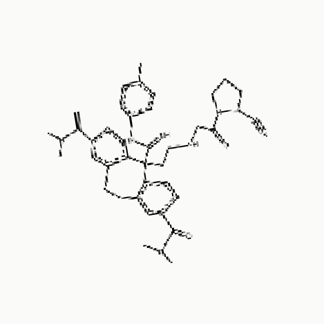 C=C(c1ccc2c(c1)CCc1cc(C(=O)N(C)C)ccc1C2(CCNCC(=O)N1CCCC1C#N)C(=N)Nc1ccc(C)cc1)N(C)C